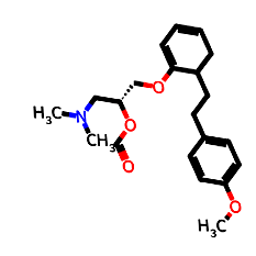 COc1ccc(CCC2CC=CC=C2OC[C@@H](CN(C)C)OC=O)cc1